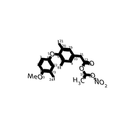 COc1ccc(Oc2c(I)cc(CC(=O)OC(C)O[N+](=O)[O-])cc2I)cc1I